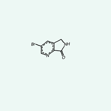 O=C1NCc2cc(Br)cnc21